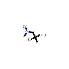 CCN(C)CC(C)(C=O)CC